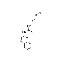 CCOCCCNC(=S)Nc1cnc2ccccc2c1